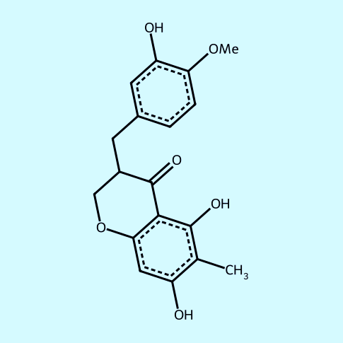 COc1ccc(CC2COc3cc(O)c(C)c(O)c3C2=O)cc1O